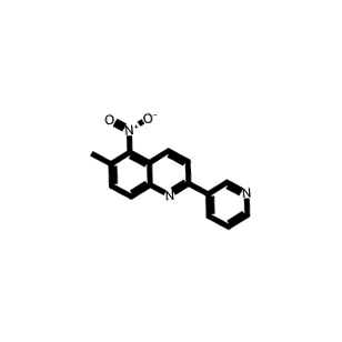 Cc1ccc2nc(-c3cccnc3)ccc2c1[N+](=O)[O-]